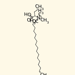 C=CCCCCCCCCCCCCCCOP(=O)(O)C(CCC)[N+](C)(C)C